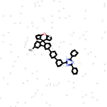 N#Cc1ccc2c(c1)-c1cc(-c3ccc(-c4cccc(-c5nc(-c6ccccc6)nc(-c6ccccc6)n5)c4)cc3)ccc1C21c2ccccc2Oc2ccccc21